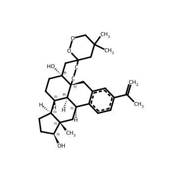 C=C(C)c1ccc2c(c1)C[C@]13CCC4(CC(C)(C)COO4)C[C@]1(O)CC[C@@H]1[C@@H]3[C@@H]2C[C@]2(C)[C@@H](O)CC[C@@H]12